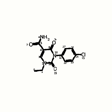 CCn1cc(C(N)=O)c(=O)n(-c2ccc(Cl)cc2)c1=O